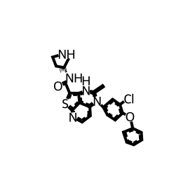 C=c1[nH]c2c(C(=O)N[C@@H]3CCNC3)sc3nccc(c32)n1-c1ccc(Oc2ccccc2)c(Cl)c1